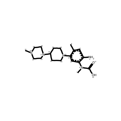 Cc1cc(N)c(N(C)C(=O)O)cc1N1CCC(N2CCN(C)CC2)CC1